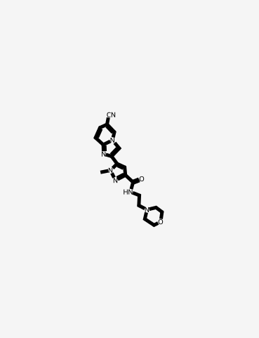 Cn1nc(C(=O)NCCN2CCOCC2)cc1-c1cn2cc(C#N)ccc2n1